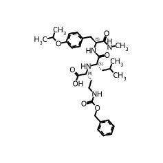 CNC(=O)[C@H](Cc1ccc(OC(C)C)cc1)NC(=O)[C@H](CC(C)C)N[C@H](CCNC(=O)OCc1ccccc1)C(=O)O